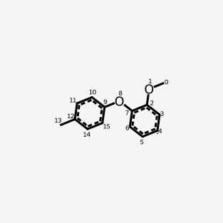 COc1c[c]ccc1Oc1ccc(C)cc1